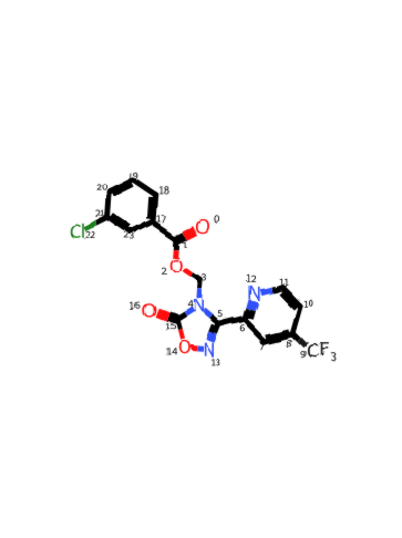 O=C(OCn1c(-c2cc(C(F)(F)F)ccn2)noc1=O)c1cccc(Cl)c1